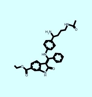 CCOC(=O)c1ccc2c(c1)NC(=O)C2=C(Nc1ccc(C(N)CCCNC(C)=O)cc1)c1ccccc1